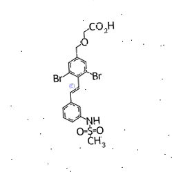 CS(=O)(=O)Nc1cccc(/C=C/c2c(Br)cc(COCC(=O)O)cc2Br)c1